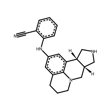 N#Cc1ccccc1Nc1cc2c3c(c1)[C@@H]1CNC[C@@H]1CN3CCC2